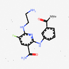 CNC(=O)c1cccc(Nc2nc(NCCN)c(F)cc2C(N)=O)c1